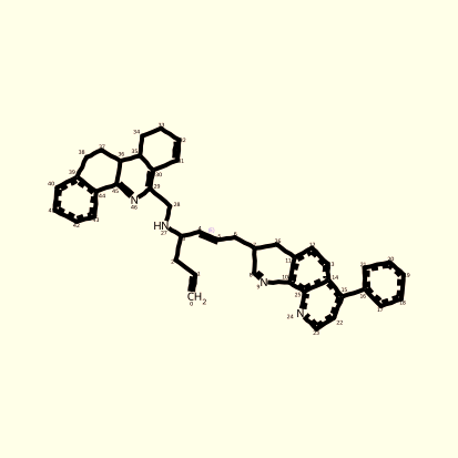 C=CCC(/C=C/CC1C=Nc2c(ccc3c(-c4ccccc4)ccnc23)C1)NCC1=C2C=CCCC2C2CCc3ccccc3C2=N1